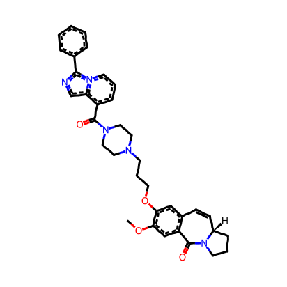 COc1cc2c(cc1OCCCN1CCN(C(=O)c3cccn4c(-c5ccccc5)ncc34)CC1)C=C[C@@H]1CCCN1C2=O